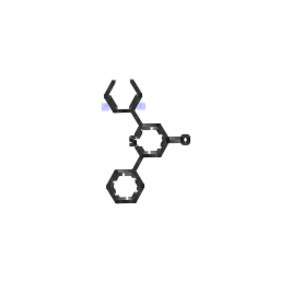 C/C=C\C(=C/C)c1cc(=O)cc(-c2ccccc2)s1